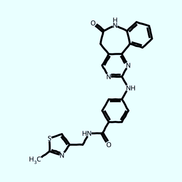 Cc1nc(CNC(=O)c2ccc(Nc3ncc4c(n3)-c3ccccc3NC(=O)C4)cc2)cs1